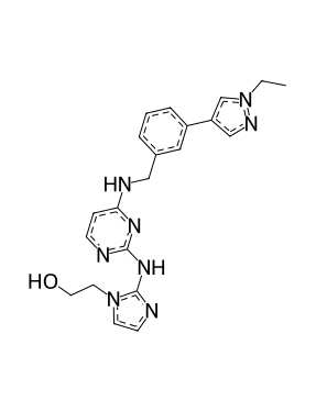 CCn1cc(-c2cccc(CNc3ccnc(Nc4nccn4CCO)n3)c2)cn1